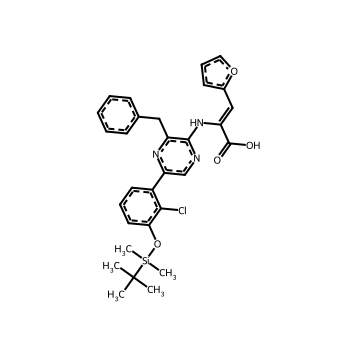 CC(C)(C)[Si](C)(C)Oc1cccc(-c2cnc(N/C(=C\c3ccco3)C(=O)O)c(Cc3ccccc3)n2)c1Cl